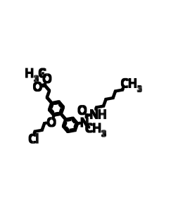 CCCCCCCNC(=O)N(C)c1cccc(-c2ccc(CCC(=O)OC)cc2OCCCCl)c1